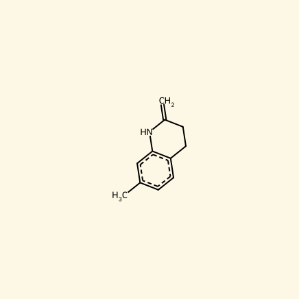 C=C1CCc2ccc(C)cc2N1